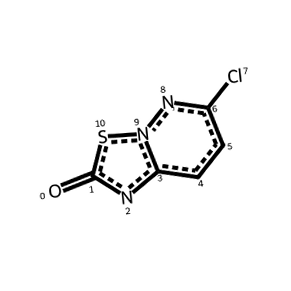 O=c1nc2ccc(Cl)nn2s1